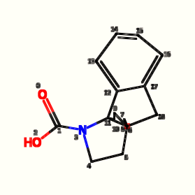 O=C(O)N1CCC23CCCCC12c1ccccc1C3